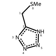 CS[CH]c1nnn[nH]1